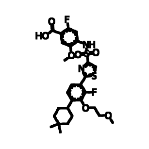 COCCOc1c(C2CCC(C)(C)CC2)ccc(-c2nc(S(=O)(=O)Nc3cc(F)c(C(=O)O)cc3OC)cs2)c1F